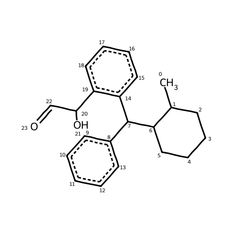 CC1CCCCC1C(c1ccccc1)c1ccccc1C(O)C=O